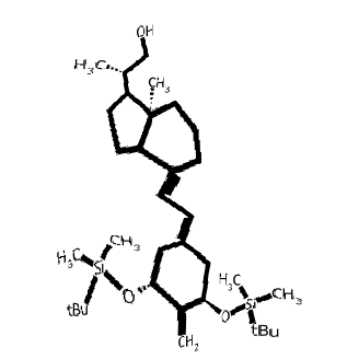 C=C1[C@H](O[Si](C)(C)C(C)(C)C)CC(=C/C=C2\CCC[C@@]3(C)C2CCC3[C@H](C)CO)C[C@H]1O[Si](C)(C)C(C)(C)C